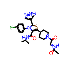 CC(=O)NCC(=O)N1CCC(C2=C(C(=O)NC(C)C)N(c3ccc(F)cc3)C(c3cn[nH]c3)S2)CC1